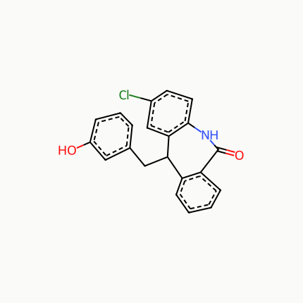 O=C1Nc2ccc(Cl)cc2C(Cc2cccc(O)c2)c2ccccc21